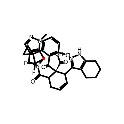 Cn1ncc2c1CN(C(=O)C1CC=CC(c3n[nH]c4c3CCCC4)[C@@]1(C(=O)O)C(=O)c1c(Cl)cccc1C1(C(F)(F)F)CC1)C2